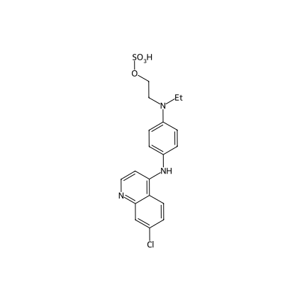 CCN(CCOS(=O)(=O)O)c1ccc(Nc2ccnc3cc(Cl)ccc23)cc1